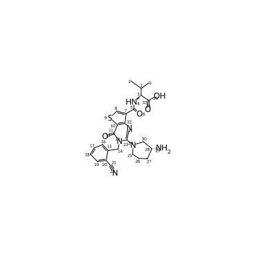 CC(C)[C@H](NC(=O)c1csc2c(=O)n(Cc3ccccc3C#N)c(N3CCC[C@@H](N)C3)nc12)C(=O)O